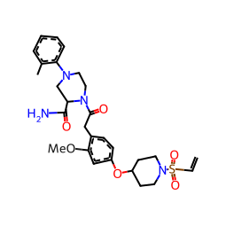 C=CS(=O)(=O)N1CCC(Oc2ccc(CC(=O)N3CCN(c4ccccc4C)CC3C(N)=O)c(OC)c2)CC1